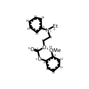 CCN(CCOC(=O)Oc1ccccc1OC)c1ccccc1